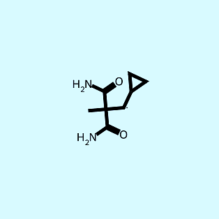 CC([CH]C1CC1)(C(N)=O)C(N)=O